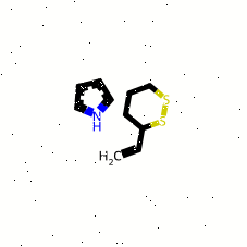 C=CC1CCCSS1.c1cc[nH]c1